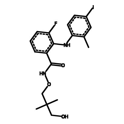 Cc1cc(I)ccc1Nc1c(F)cccc1C(=O)NOCC(C)(C)CO